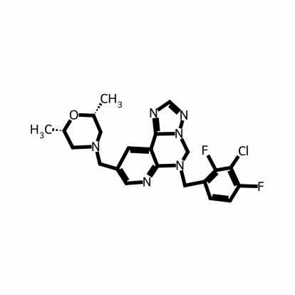 C[C@@H]1CN(Cc2cnc3c(c2)-c2ncnn2CN3Cc2ccc(F)c(Cl)c2F)C[C@H](C)O1